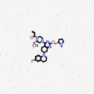 C=CC(=O)N1CCN(c2nc(OC[C@@H]3CCCN3C)nc3c2CCC(N2CCCc4cc(F)ccc42)C3)C[C@@H]1CC#N